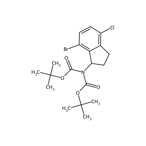 CC(C)(C)OC(=O)N(C(=O)OC(C)(C)C)C1CCc2c(Cl)ccc(Br)c21